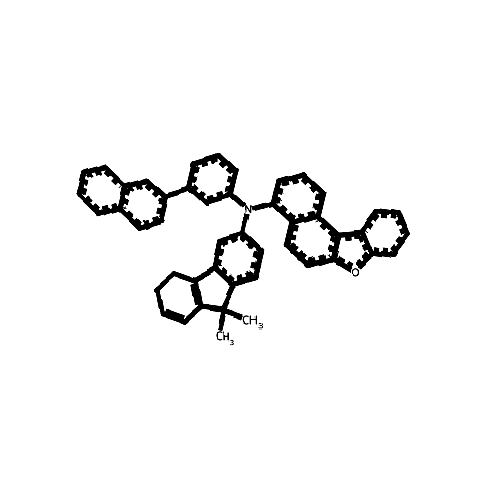 CC1(C)C2=C(CCC=C2)c2cc(N(c3cccc(-c4ccc5ccccc5c4)c3)c3cccc4c3ccc3oc5ccccc5c34)ccc21